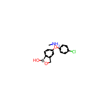 CN.OB1OCc2cc(Oc3ccc(Cl)cc3)ccc21